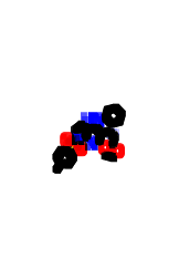 Cc1ccc(S(=O)(=O)n2ccc3c(NC4CCCCC4)c(/C=C\C4OCCO4)cnc32)cc1